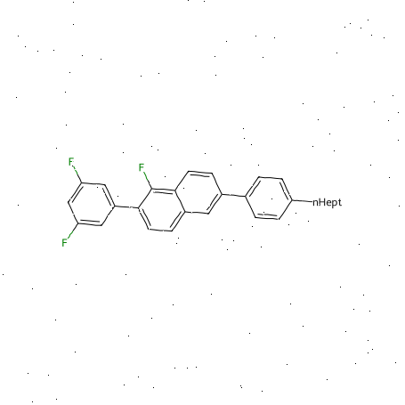 CCCCCCCc1ccc(-c2ccc3c(F)c(-c4cc(F)cc(F)c4)ccc3c2)cc1